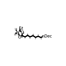 CCCCCCCCCCCCCCCCCC(=O)OC(CC)[N+](C)(C)C